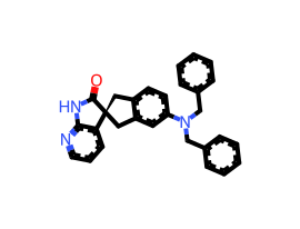 O=C1Nc2ncccc2[C@]12Cc1ccc(N(Cc3ccccc3)Cc3ccccc3)cc1C2